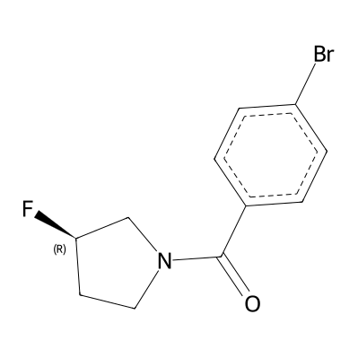 O=C(c1ccc(Br)cc1)N1CC[C@@H](F)C1